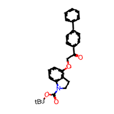 CC(C)(C)OC(=O)N1CCc2c(OCC(=O)c3ccc(-c4ccccc4)cc3)cccc21